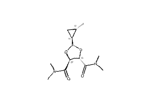 C[C@H]1C[C@@H]1B1O[C@H](C(=O)N(C)C)[C@@H](C(=O)N(C)C)O1